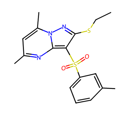 CCSc1nn2c(C)cc(C)nc2c1S(=O)(=O)c1cccc(C)c1